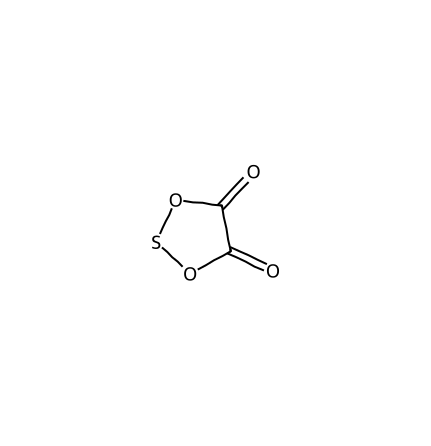 O=c1osoc1=O